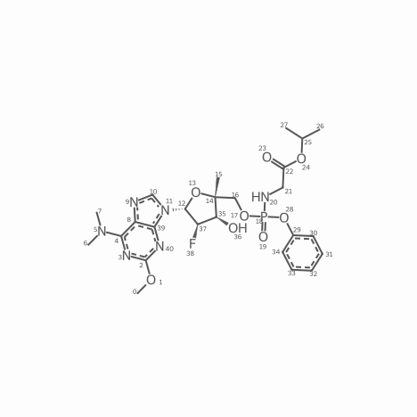 COc1nc(N(C)C)c2ncn([C@@H]3O[C@](C)(COP(=O)(NCC(=O)OC(C)C)Oc4ccccc4)[C@@H](O)[C@H]3F)c2n1